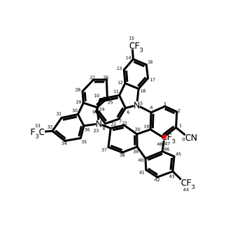 N#Cc1ccc(-n2c3ccccc3c3cc(C(F)(F)F)ccc32)c(-c2cc(-n3c4ccccc4c4cc(C(F)(F)F)ccc43)ccc2-c2ccc(C(F)(F)F)cc2C(F)(F)F)c1